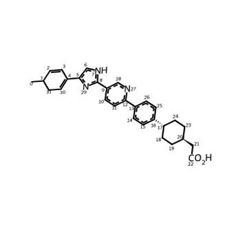 CC1C=CC(c2c[nH]c(-c3ccc(-c4ccc([C@H]5CC[C@H](CC(=O)O)CC5)cc4)nc3)n2)=CC1